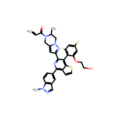 C=CC(=O)N1Cc2cc(-c3nc(-c4ccc5c(cnn5C)c4)c4ccsc4c3-c3c(F)cc(F)cc3OCCO)nn2CC1C